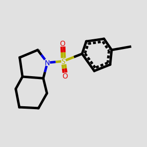 Cc1ccc(S(=O)(=O)N2[CH]CC3CCCCC32)cc1